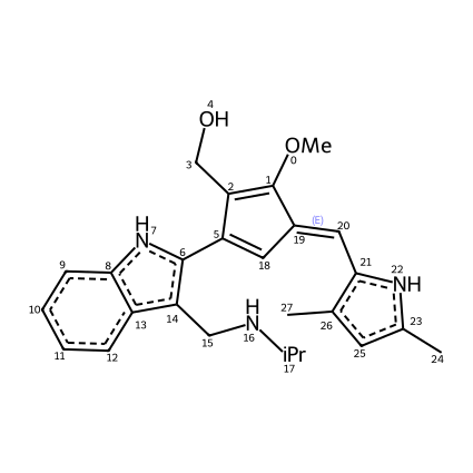 COC1=C(CO)C(c2[nH]c3ccccc3c2CNC(C)C)=C/C1=C\c1[nH]c(C)cc1C